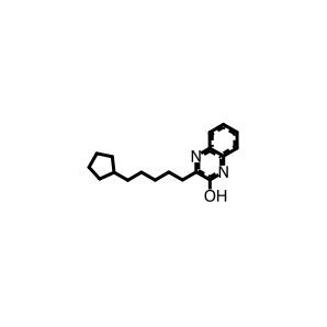 Oc1nc2ccccc2nc1CCCCCC1CCCC1